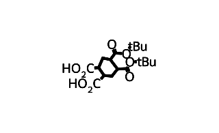 CC(C)(C)OC(=O)C1CC(C(=O)O)C(C(=O)O)CC1C(=O)OC(C)(C)C